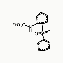 CCOC(=O)Nc1ccccc1S(=O)(=O)c1ccccc1